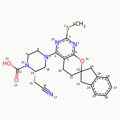 CSc1nc2c(c(N3CCN(C(=O)O)[C@@H](CC#N)C3)n1)CCC1(Cc3ccccc3C1)O2